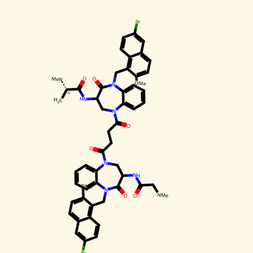 CNCC(=O)NC1CN(C(=O)CCC(=O)N2CC(NC(=O)[C@H](C)NC)C(=O)N(Cc3c(OC)ccc4cc(Br)ccc34)c3ccccc32)c2ccccc2N(Cc2c(OC)ccc3cc(Br)ccc23)C1=O